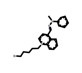 CN(/N=C/c1cc[n+](CCCCCBr)c2ccccc12)c1ccccc1